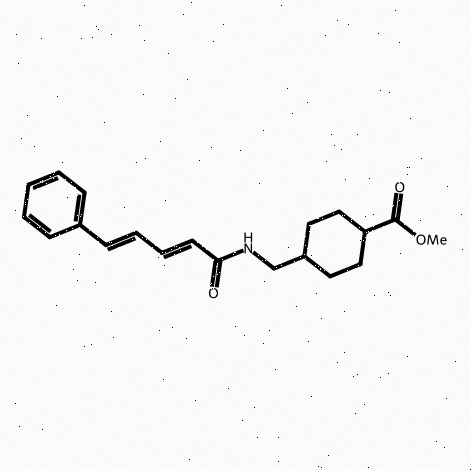 COC(=O)C1CCC(CNC(=O)C=CC=Cc2ccccc2)CC1